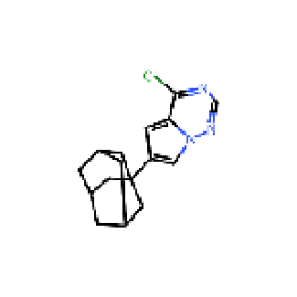 Clc1ncnn2cc(C34CC5CC(CC(C5)C3)C4)cc12